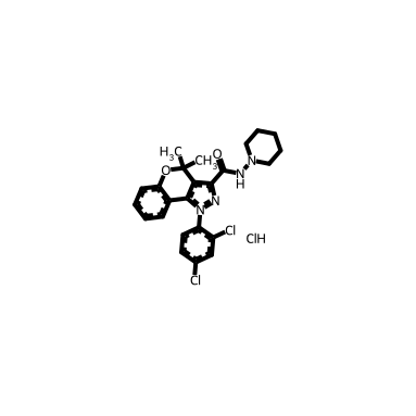 CC1(C)Oc2ccccc2-c2c1c(C(=O)NN1CCCCC1)nn2-c1ccc(Cl)cc1Cl.Cl